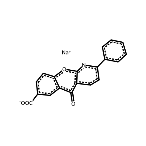 O=C([O-])c1ccc2oc3nc(-c4ccccc4)ccc3c(=O)c2c1.[Na+]